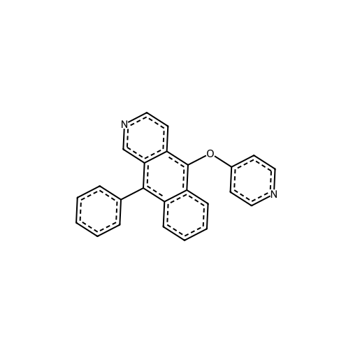 c1ccc(-c2c3ccccc3c(Oc3ccncc3)c3ccncc23)cc1